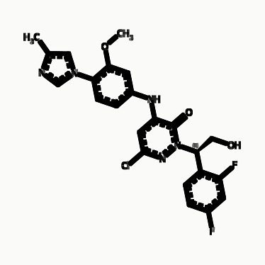 COc1cc(Nc2cc(Cl)nn([C@@H](CO)c3ccc(F)cc3F)c2=O)ccc1-n1cnc(C)c1